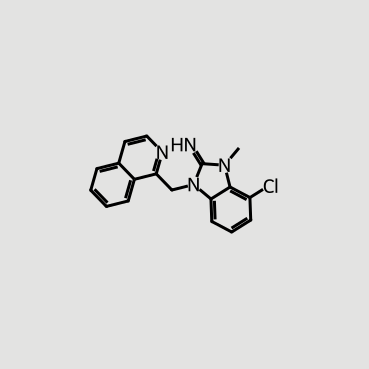 Cn1c(=N)n(Cc2nccc3ccccc23)c2cccc(Cl)c21